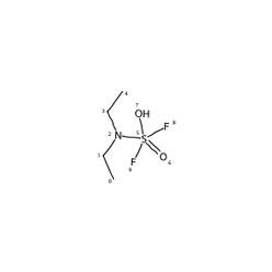 CCN(CC)S(=O)(O)(F)F